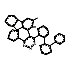 Cc1cc2c(c(-c3c(-c4ccccc4)nnnc3-c3ccccc3-c3ccccc3-c3ccccc3)c1C)Cc1ccccc1-2